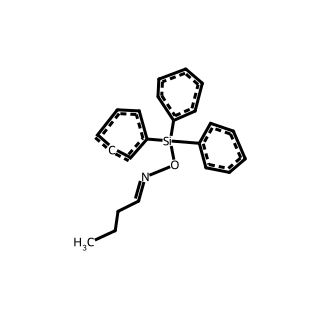 CCCC=NO[Si](c1ccccc1)(c1ccccc1)c1ccccc1